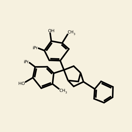 Cc1cc(O)c(C(C)C)cc1C1(c2cc(C)c(O)c(C(C)C)c2)CC2CC1CC2c1ccccc1